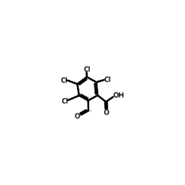 O=[C]c1c(Cl)c(Cl)c(Cl)c(Cl)c1C(=O)O